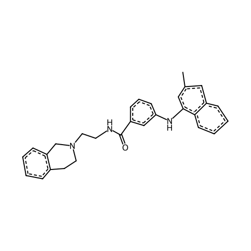 Cc1cc(Nc2cccc(C(=O)NCCN3CCc4ccccc4C3)c2)c2ccccc2c1